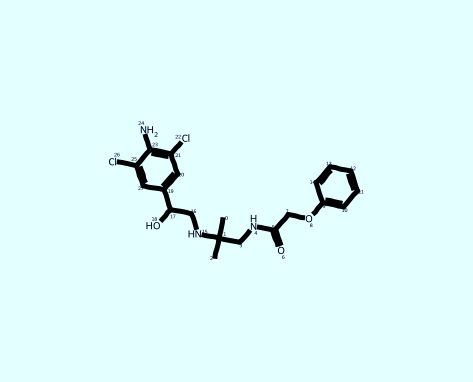 CC(C)(CNC(=O)COc1ccccc1)NCC(O)c1cc(Cl)c(N)c(Cl)c1